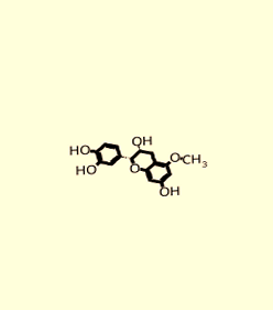 COc1cc(O)cc2c1C[C@@H](O)[C@@H](c1ccc(O)c(O)c1)O2